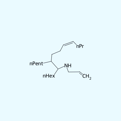 C=CCNC(CCCCCC)C(CC/C=C\CCC)CCCCC